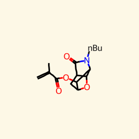 C=C(C)C(=O)OC1C2CC3C(=O)N(CCCC)C1C3O2